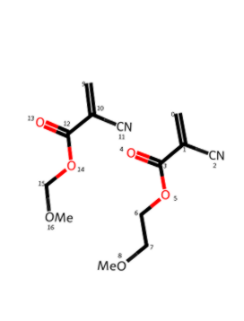 C=C(C#N)C(=O)OCCOC.C=C(C#N)C(=O)OCOC